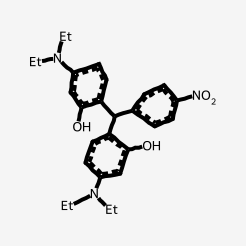 CCN(CC)c1ccc(C(c2ccc([N+](=O)[O-])cc2)c2ccc(N(CC)CC)cc2O)c(O)c1